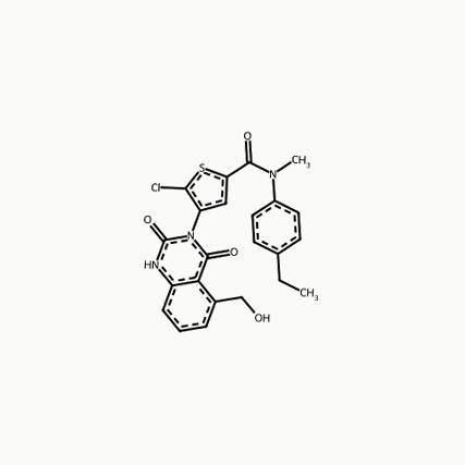 CCc1ccc(N(C)C(=O)c2cc(-n3c(=O)[nH]c4cccc(CO)c4c3=O)c(Cl)s2)cc1